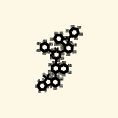 CC1(C)c2ccccc2-c2cccc(-c3ccc(-c4cc(-c5cccc6c5c5ccccc5n6-c5ccccc5)nc(-c5ccccc5)n4)c4ccccc34)c21